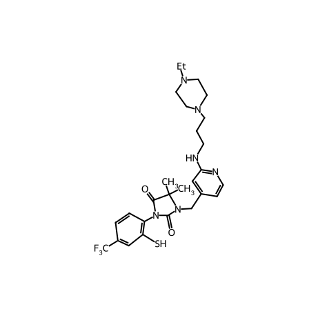 CCN1CCN(CCCNc2cc(CN3C(=O)N(c4ccc(C(F)(F)F)cc4S)C(=O)C3(C)C)ccn2)CC1